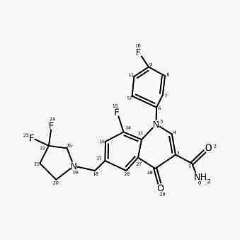 NC(=O)c1cn(-c2ccc(F)cc2)c2c(F)cc(CN3CCC(F)(F)C3)cc2c1=O